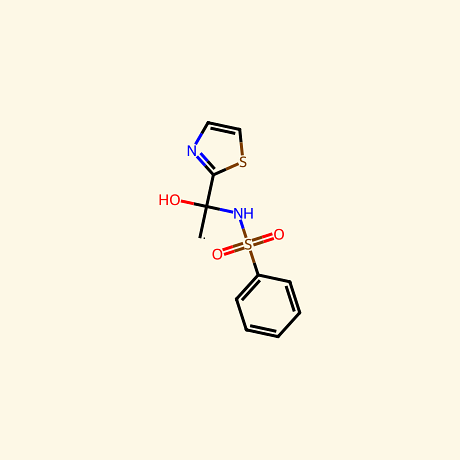 [CH2]C(O)(NS(=O)(=O)c1ccccc1)c1nccs1